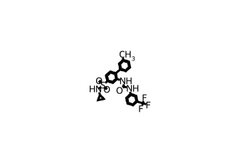 Cc1cccc(-c2ccc(S(=O)(=O)NC3CC3)cc2NC(=O)Nc2cccc(C(F)(F)F)c2)c1